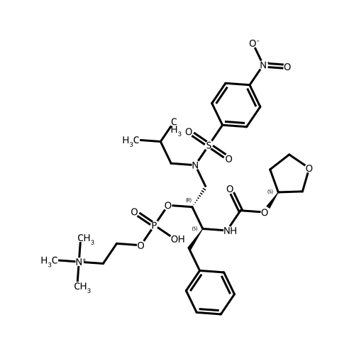 CC(C)CN(C[C@@H](OP(=O)(O)OCC[N+](C)(C)C)[C@H](Cc1ccccc1)NC(=O)O[C@H]1CCOC1)S(=O)(=O)c1ccc([N+](=O)[O-])cc1